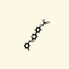 Cc1cccc(CNc2ccc(-c3ccc(OCC(=O)O)cc3)cn2)c1